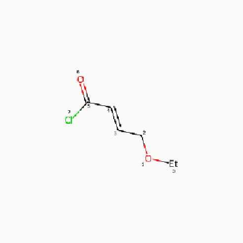 CCOCC=CC(=O)Cl